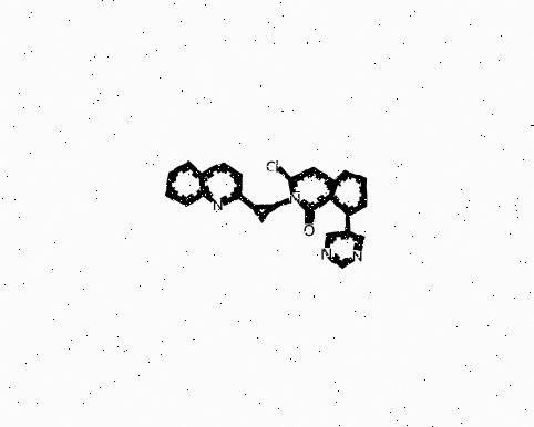 O=c1c2c(-c3cncnc3)cccc2cc(Cl)n1C1CC1c1ccc2ccccc2n1